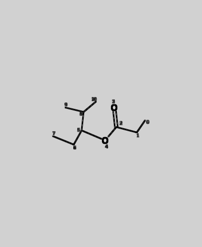 CCC(=O)OC(CC)C(C)C